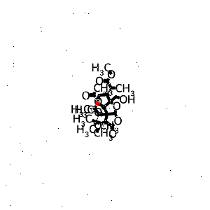 COC(=O)C(C)[C@H]1CCC2(OC)C1(CO)OC1OC(=O)[C@H](OC)C12[C@@H]([C@H](C)OC(C)=O)C(C)(C)C